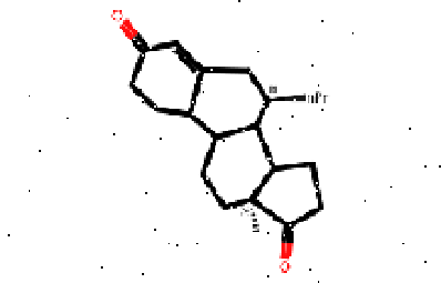 CCC[C@@H]1CC2=CC(=O)CCC2C2CC[C@]3(C)C(=O)CCC3C21